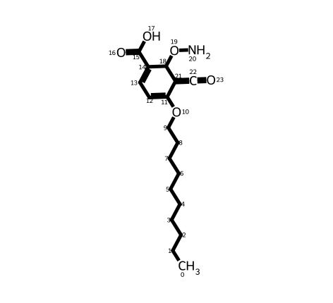 CCCCCCCCCCOC1=CC=C(C(=O)O)C(ON)C1=C=O